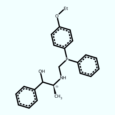 CCOc1ccc(P(CN[C@@H](C)C(O)c2ccccc2)c2ccccc2)cc1